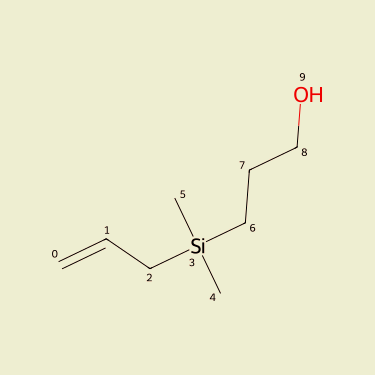 C=CC[Si](C)(C)CCCO